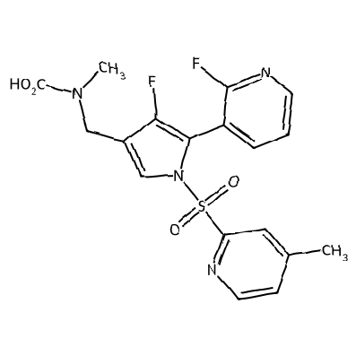 Cc1ccnc(S(=O)(=O)n2cc(CN(C)C(=O)O)c(F)c2-c2cccnc2F)c1